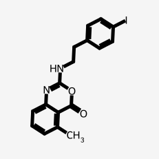 Cc1cccc2nc(NCCc3ccc(I)cc3)oc(=O)c12